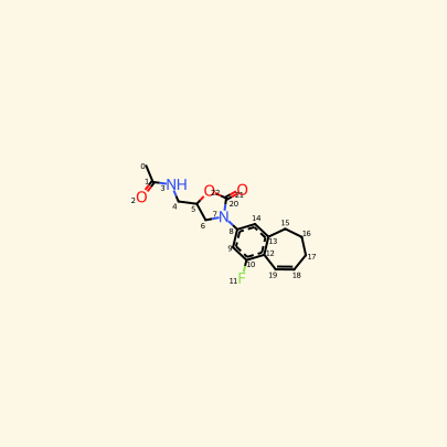 CC(=O)NCC1CN(c2cc(F)c3c(c2)CCCC=C3)C(=O)O1